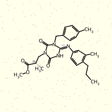 CCCc1ccc(/N=c2\[nH]c(=O)n(C[C@H](C)C(=O)OC)c(=O)n2Cc2ccc(C)cc2)cc1C